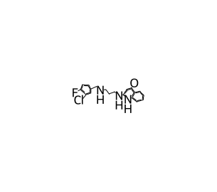 O=c1cc(NCCCNCc2ccc(F)c(Cl)c2)[nH]c2ccccc12